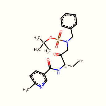 Cc1ccc(C(=O)N[C@@H](CC(C)C)C(=O)CN(Cc2ccccc2)S(=O)(=O)O[Si](C)(C)C)cn1